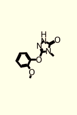 COc1ccccc1Oc1n[nH]c(=O)n1C